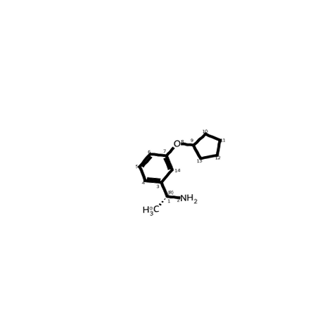 C[C@@H](N)c1cccc(OC2CCCC2)c1